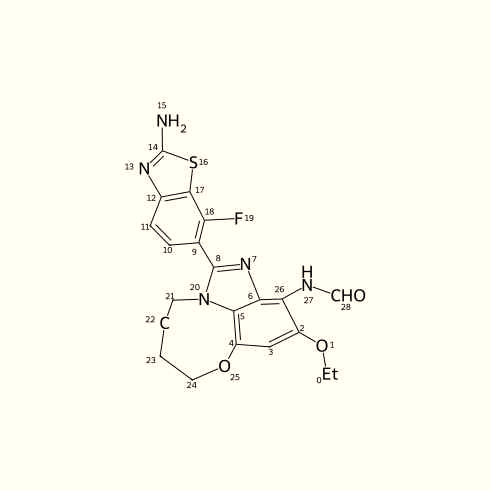 CCOc1cc2c3c(nc(-c4ccc5nc(N)sc5c4F)n3CCCCO2)c1NC=O